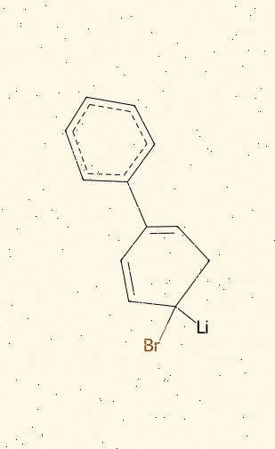 [Li][C]1(Br)C=CC(c2ccccc2)=CC1